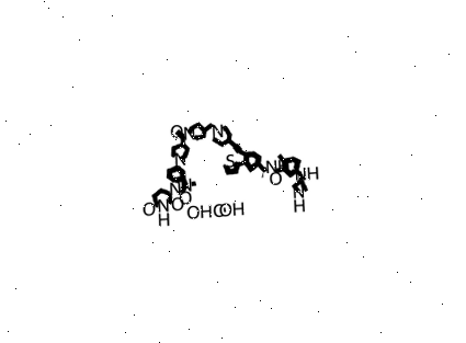 Cc1ccc(NC2CNC2)cc1C(=O)N[C@H](C)c1ccc(C#CC2CCN(CC3CCN(C(=O)C4CCN(c5ccc6c(c5)n(C)c(=O)n6C5CCC(=O)NC5=O)CC4)CC3)CC2)c(-c2cccs2)c1.O=CO